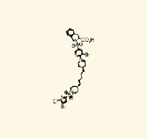 O=C(O)C1Cc2ccccc2CN1S(=O)(=O)c1cnc(N2CCC(CCCCCC3CCN(S(=O)(=O)c4cc(Br)c(Cl)s4)CC3)CC2)c(Br)c1